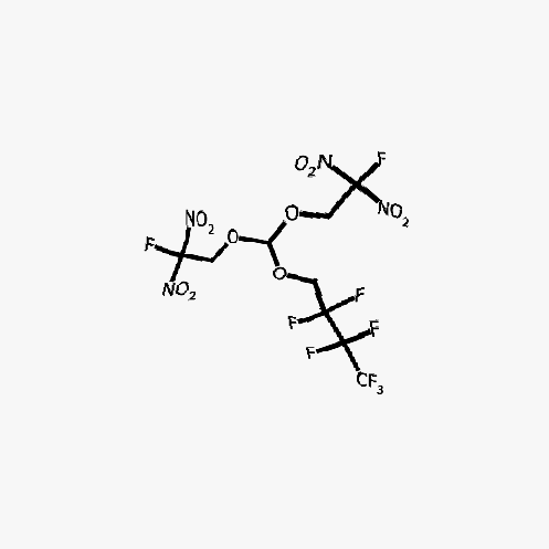 O=[N+]([O-])C(F)(COC(OCC(F)([N+](=O)[O-])[N+](=O)[O-])OCC(F)(F)C(F)(F)C(F)(F)F)[N+](=O)[O-]